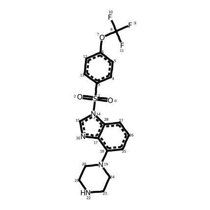 O=S(=O)(c1ccc(OC(F)(F)F)cc1)n1cnc2c(N3CCNCC3)cccc21